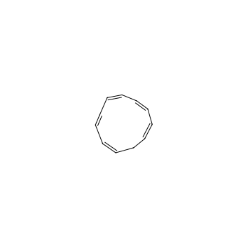 C1=CC=CC=CCC=CC=C1